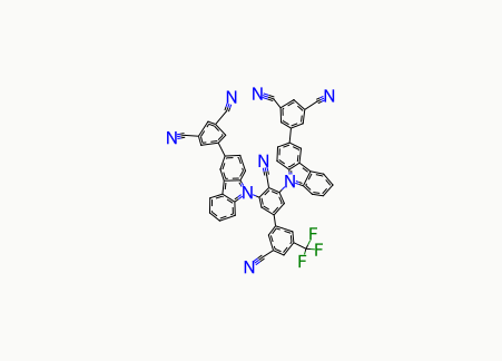 N#Cc1cc(C#N)cc(-c2ccc3c(c2)c2ccccc2n3-c2cc(-c3cc(C#N)cc(C(F)(F)F)c3)cc(-n3c4ccccc4c4cc(-c5cc(C#N)cc(C#N)c5)ccc43)c2C#N)c1